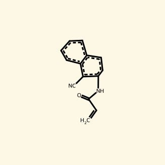 C=CC(=O)Nc1ccc2ccccc2c1C#N